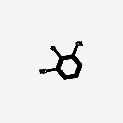 N#Cc1cccc(C#N)c1[O]